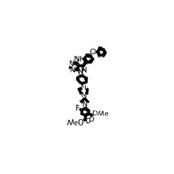 COC(=O)c1cc(F)c(N2CC(N3CCN(C4CCC(n5nc(-c6ccc(Oc7ccccc7)cc6)c6c(N)ncnc65)CC4)CC3)C2)cc1C(=O)OC